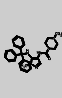 Cn1ncc(NC(=O)N2CCN(C(=O)O)CC2)c1NC(c1ccccc1)(c1ccccc1)c1ccccc1